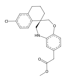 COC(=O)Cc1ccc2c(c1)NC[C@@]1(CCCc3cc(Cl)ccc31)CO2